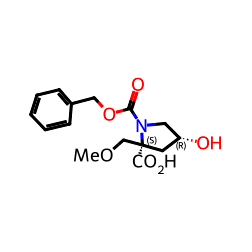 COC[C@]1(C(=O)O)C[C@@H](O)CN1C(=O)OCc1ccccc1